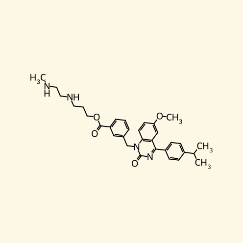 CNCCNCCCOC(=O)c1cccc(Cn2c(=O)nc(-c3ccc(C(C)C)cc3)c3cc(OC)ccc32)c1